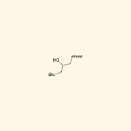 CCCCCCC(O)CC(C)(C)C